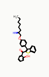 CCCCCCC(=N)COc1ccc(-c2c(C(=O)c3ccccc3O)sc3ccccc23)cc1